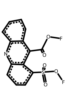 O=C(OF)c1c2ccccc2nc2cccc(S(=O)(=O)OF)c12